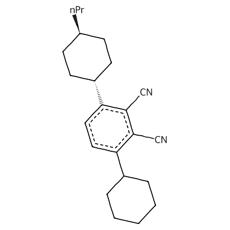 CCC[C@H]1CC[C@H](c2ccc(C3CCCCC3)c(C#N)c2C#N)CC1